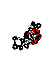 c1ccc(-c2nc(-c3cccc(-c4cccc(-c5ccc6c(c5)-c5ccccc5C65c6ccccc6Oc6cc(-c7ccccc7-c7cc(-c8ccccc8-c8ccccc8)nc(-c8ccccc8)n7)ccc65)c4)c3)cc(-c3ccccc3-c3ccc4c(c3)Oc3ccccc3Cc3ccccc3-c3ccccc3C4)n2)cc1